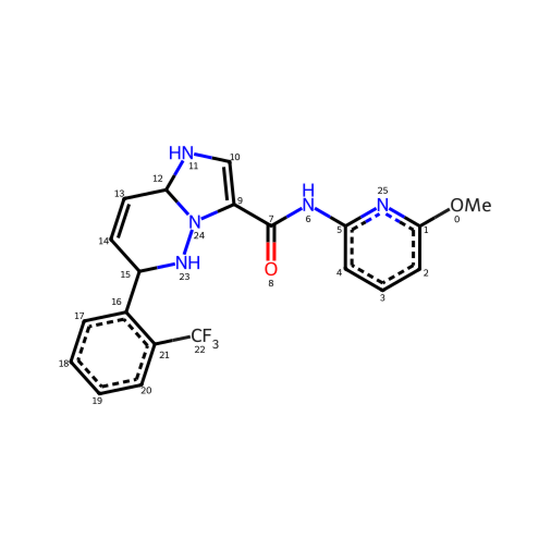 COc1cccc(NC(=O)C2=CNC3C=CC(c4ccccc4C(F)(F)F)NN23)n1